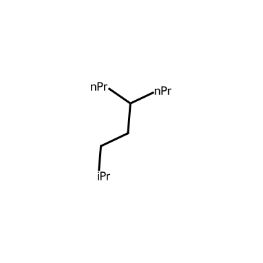 [CH2]C(C)CCC(CCC)CCC